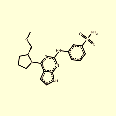 COC[C@@H]1CCCN1c1nc(Nc2cccc(S(N)(=O)=O)c2)nc2[nH]ccc12